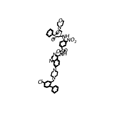 O=[N+]([O-])c1cc(S(=O)(=O)Nc2ncnc3cc(N4CCN(Cc5cc(Cl)ccc5-c5ccccc5)CC4)ccc23)ccc1N[C@H](CCN1CCOCC1)CS(=O)(=O)c1ccccc1